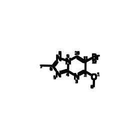 COc1nc2nc(C)nn2cc1Br